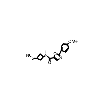 COc1ccc(-c2ncc(C(=O)NC3CC(SC#N)C3)o2)cc1